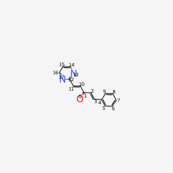 O=C(/C=C/c1ccccc1)/C=C/c1ncccn1